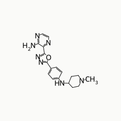 CN1CCC(Nc2ccc(-c3nnc(-c4nccnc4N)o3)cc2)CC1